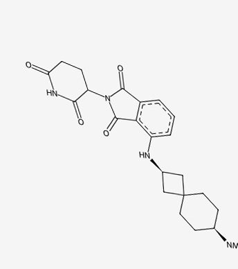 CN[C@H]1CCC2(CC1)C[C@H](Nc1cccc3c1C(=O)N(C1CCC(=O)NC1=O)C3=O)C2